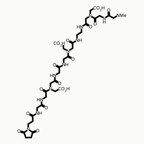 CNCC(=O)NCC(=O)N(CC(=O)O)CC(=O)NCCNC(=O)CN(CC(=O)O)C(=O)CNC(=O)CNC(=O)CN(CC(=O)O)C(=O)CNC(=O)CNC(=O)CCN1C(=O)CCC1=O